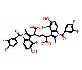 Cc1c(C(CCC(C(=O)O)c2c(C)n(C(=O)c3ccc(F)c(F)c3)c3ccc(O)c(F)c23)C(=O)O)c2c(F)c(O)ccc2n1C(=O)c1ccc(F)c(F)c1